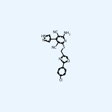 N#Cc1c(N)nc(SCc2coc(-c3ccc(Cl)cc3)n2)c(C#N)c1-c1cn[nH]c1